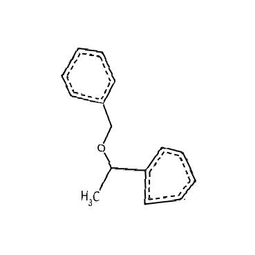 CC(OCc1ccccc1)c1c[c]ccc1